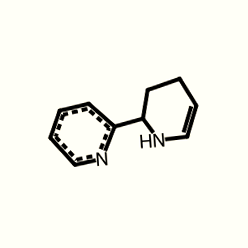 C1=CNC(c2ccccn2)CC1